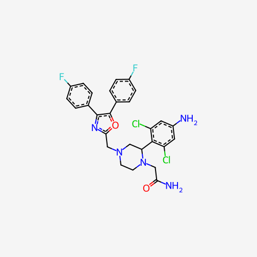 NC(=O)CN1CCN(Cc2nc(-c3ccc(F)cc3)c(-c3ccc(F)cc3)o2)CC1c1c(Cl)cc(N)cc1Cl